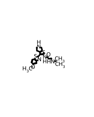 COc1ccc2sc(-c3c(NC(=O)CCNC(C)C)sc4c3CCNC4)nc2c1